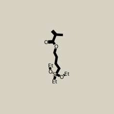 C=C(C)C(=O)OCCCC[Si](CC)(OCC)OCC